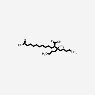 CCCCCC(C)(CCCC)C(CCCCCCCCCC(=O)O)C(=O)O